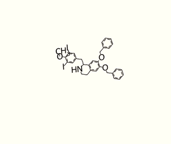 COc1c(I)cc(CC2NCCc3cc(OCc4ccccc4)c(OCc4ccccc4)cc32)cc1I